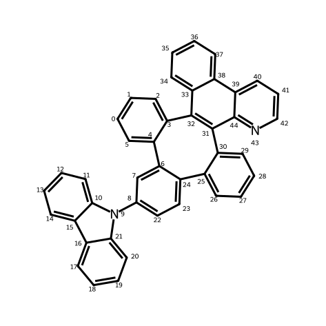 c1ccc2c(c1)-c1cc(-n3c4ccccc4c4ccccc43)ccc1-c1ccccc1-c1c-2c2ccccc2c2cccnc12